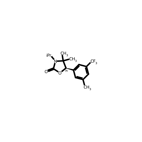 Cc1cc([C@H]2OC(=O)N(C(C)C)C2(C)C)cc(C(F)(F)F)c1